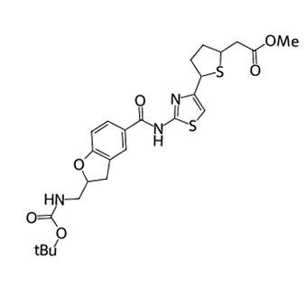 COC(=O)CC1CCC(c2csc(NC(=O)c3ccc4c(c3)CC(CNC(=O)OC(C)(C)C)O4)n2)S1